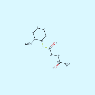 CNC1CCCCC1SC(=O)CCC(=O)N=O